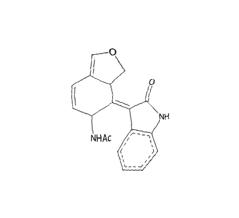 CC(=O)NC1C=CC2=COCC2C1=C1C(=O)Nc2ccccc21